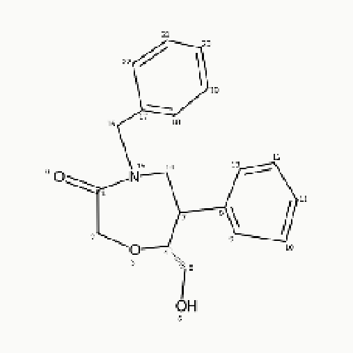 O=C1CO[C@@H](CO)C(c2ccccc2)CN1Cc1ccccc1